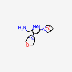 NCc1nnc(N2CC3CC(C2)O3)cc1N1C2CCC1COC2